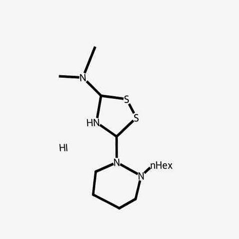 CCCCCCN1CCCCN1C1NC(N(C)C)SS1.I